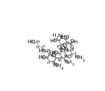 NC[C@H](O)C(=O)N[C@@H]1C[C@H](N)[C@@H](O[C@H]2O[C@H](CNCCCO)[C@@H](O)C[C@H]2N)[C@H](O)[C@H]1O[C@H]1O[C@H](CO)[C@@H](O)[C@H](N)[C@H]1O